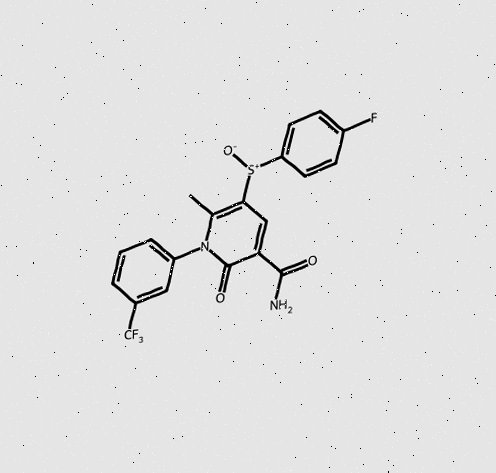 Cc1c([S+]([O-])c2ccc(F)cc2)cc(C(N)=O)c(=O)n1-c1cccc(C(F)(F)F)c1